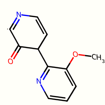 COc1cccnc1C1C=CN=[C]C1=O